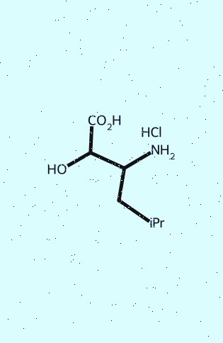 CC(C)CC(N)C(O)C(=O)O.Cl